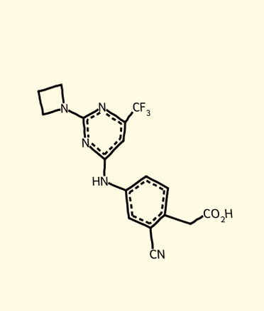 N#Cc1cc(Nc2cc(C(F)(F)F)nc(N3CCC3)n2)ccc1CC(=O)O